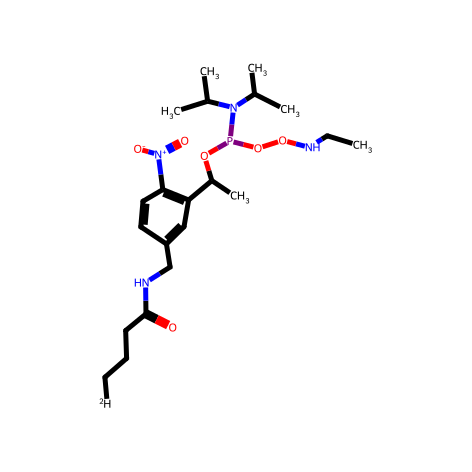 [2H]CCCC(=O)NCc1ccc([N+](=O)[O-])c(C(C)OP(OONCC)N(C(C)C)C(C)C)c1